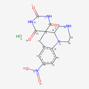 Cl.O=C1NC(=O)C2(Cc3cc([N+](=O)[O-])ccc3N3CCNCC32)C(=O)N1